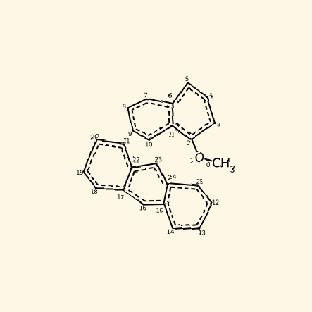 COc1cccc2ccccc12.c1ccc2cc3ccccc3cc2c1